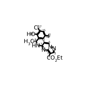 CCOC(=O)c1cnn2ccc(N[C@H](C)c3cc(F)cc(Cl)c3O)nc12